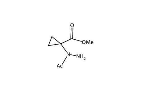 COC(=O)C1(N(N)C(C)=O)CC1